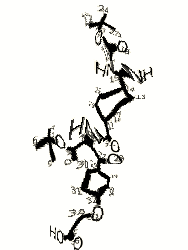 CC(OC(C)(C)C)C(NC(=O)c1ccc(C(=N)NC(=O)OC(C)(C)C)cc1)C(=O)c1ccc(OCC(=O)O)cc1